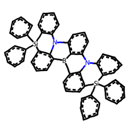 c1ccc([Si]2(c3ccccc3)c3ccccc3N3c4cccc5c4B(c4cccc2c43)c2cccc3c2N5c2ccccc2[Si]3(c2ccccc2)c2ccccc2)cc1